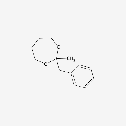 CC1(Cc2ccccc2)OCCCCO1